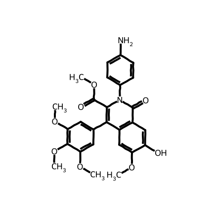 COC(=O)c1c(-c2cc(OC)c(OC)c(OC)c2)c2cc(OC)c(O)cc2c(=O)n1-c1ccc(N)cc1